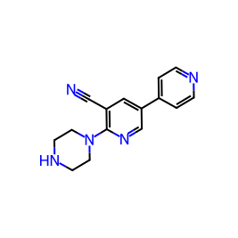 N#Cc1cc(-c2ccncc2)cnc1N1CCNCC1